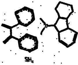 C=C(C(=C)c1ccccc1)c1ccccc1.[CH3][Ti]([CH3])[CH]1C2C=CC=CC2C2CCCCC21.[SiH4]